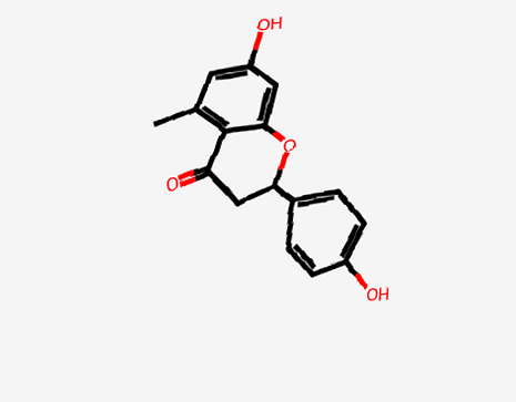 Cc1cc(O)cc2c1C(=O)CC(c1ccc(O)cc1)O2